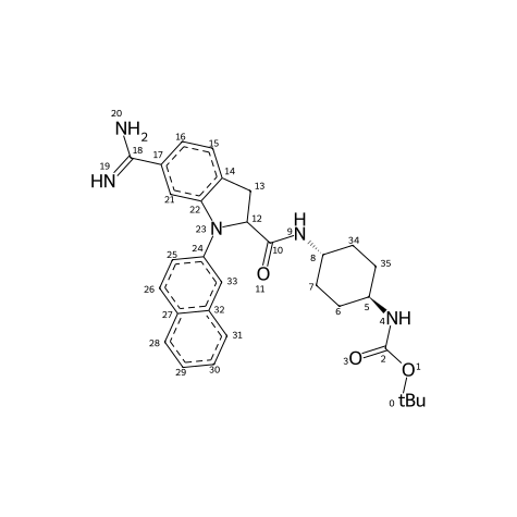 CC(C)(C)OC(=O)N[C@H]1CC[C@H](NC(=O)C2Cc3ccc(C(=N)N)cc3N2c2ccc3ccccc3c2)CC1